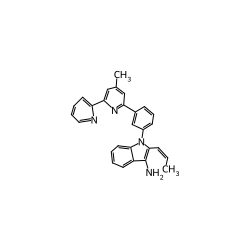 C/C=C\c1c(N)c2ccccc2n1-c1cccc(-c2cc(C)cc(-c3ccccn3)n2)c1